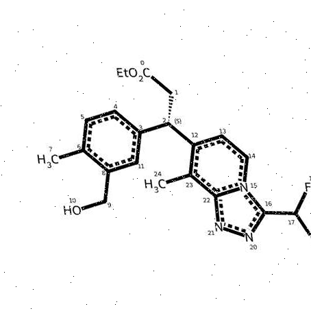 CCOC(=O)C[C@@H](c1ccc(C)c(CO)c1)c1ccn2c(C(F)F)nnc2c1C